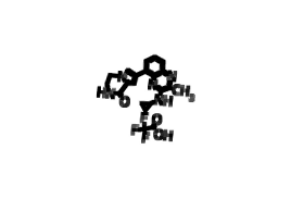 Cc1nc2cccc(-c3cc4n(c3)CCNC4=O)c2nc1NC1CC1.O=C(O)C(F)(F)F